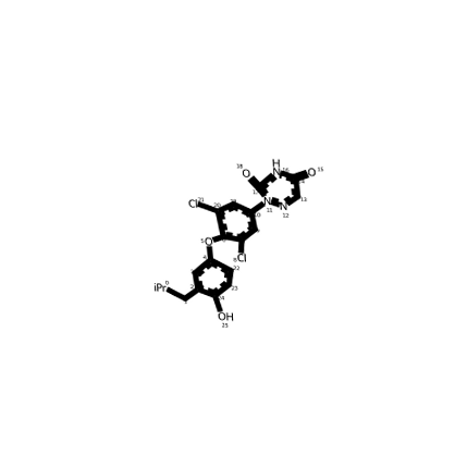 CC(C)Cc1cc(Oc2c(Cl)cc(-n3ncc(=O)[nH]c3=O)cc2Cl)ccc1O